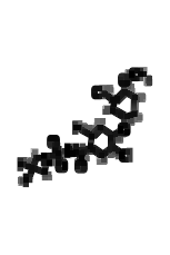 O=C(NS(=O)(=O)N1CC(F)(F)C1)c1cc(Cl)c(Oc2ccc(OC(F)(F)F)c(Cl)c2)cc1F